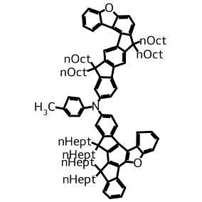 CCCCCCCCC1(CCCCCCCC)c2cc(N(c3ccc(C)cc3)c3ccc4c(c3)C(CCCCCCC)(CCCCCCC)c3c5c(c6oc7ccccc7c6c3-4)-c3ccccc3C5(CCCCCCC)CCCCCCC)ccc2-c2cc3c(cc21)-c1c(ccc2oc4ccccc4c12)C3(CCCCCCCC)CCCCCCCC